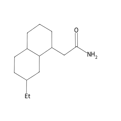 CCC1CCC2CCCC(CC(N)=O)C2C1